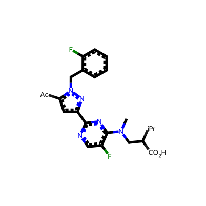 CC(=O)c1cc(-c2ncc(F)c(N(C)CC(C(=O)O)C(C)C)n2)nn1Cc1ccccc1F